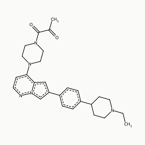 CCN1CCC(c2ccc(-c3cc4c(N5CCN(C(=O)C(C)=O)CC5)ccnn4c3)cc2)CC1